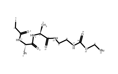 CC(C)[C@H](NC(=O)CI)C(=O)N[C@@H](C)C(=O)NCCNC(=O)OCC(C)(C)C